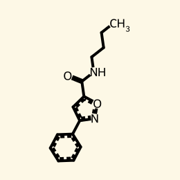 CCCCNC(=O)c1cc(-c2ccccc2)no1